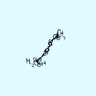 C=CC(=O)OCCCOc1ccc(/C=C/c2ccc(OCCCOC(=O)C(=C)CO)cc2)cc1